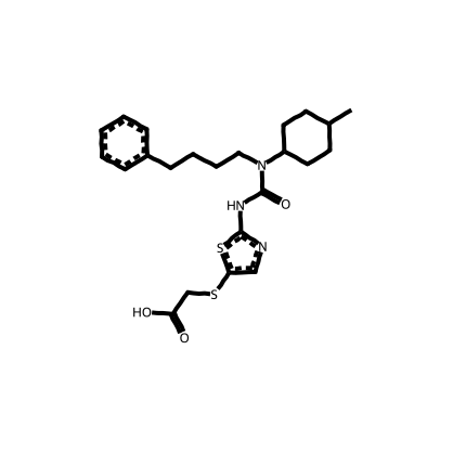 CC1CCC(N(CCCCc2ccccc2)C(=O)Nc2ncc(SCC(=O)O)s2)CC1